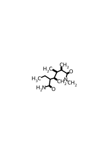 C=NC(=O)C(=C)C(=C)C(=C)C(CC)C(N)=O